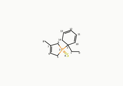 CCC1(P2(=S)CC=C(C)C2)C=CC=CC1